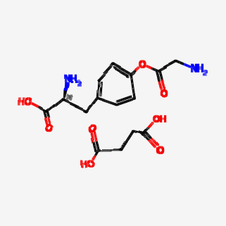 NCC(=O)Oc1ccc(C[C@H](N)C(=O)O)cc1.O=C(O)CCC(=O)O